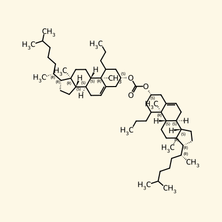 CCCC1C[C@H](OC(=O)O[C@@H]2CC3=CC[C@H]4[C@@H]5CC[C@H]([C@H](C)CCCC(C)C)[C@@]5(C)CC[C@@H]4[C@@]3(C)C(CCC)C2)CC2=CC[C@H]3[C@@H]4CC[C@H]([C@H](C)CCCC(C)C)[C@@]4(C)CC[C@@H]3[C@]21C